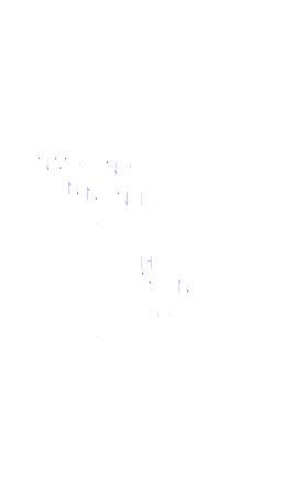 C=S(C)(=O)c1cccc(NC(=O)N(Cc2ccc(C(=O)NC(=N)/N=N\NC)cc2)C2CCC3(CCCCC3)CC2)c1